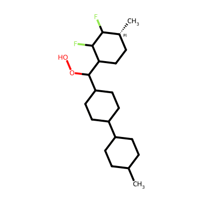 CC1CCC(C2CCC(C(OO)C3CC[C@@H](C)C(F)C3F)CC2)CC1